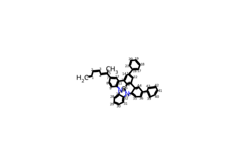 C=C/C=C\C=C(/C)c1ccc2c(c1)-c1cc(-c3ccccc3)cc3c1B1N2c2ccccc2N1c1ccc(-c2ccccc2)cc1-3